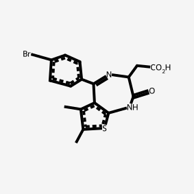 Cc1sc2c(c1C)C(c1ccc(Br)cc1)=NC(CC(=O)O)C(=O)N2